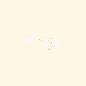 COc1cc(C)c2[nH]c(=O)c3sccc3c2c1Nc1cccc(CCN)c1